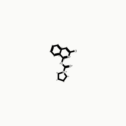 O=C(Oc1nc(Cl)cc2ccccc12)N1CCCC1